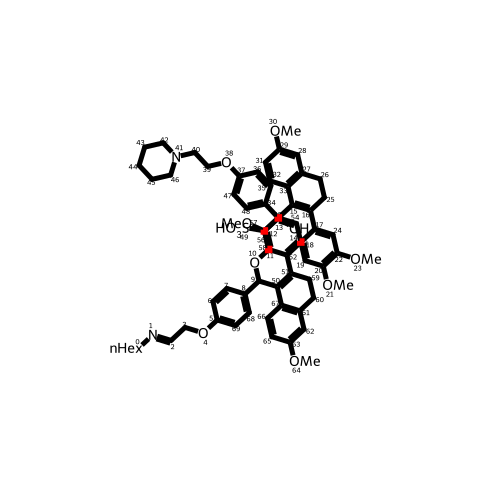 CCCCCCN=CCOc1ccc(C(OCC(C(O)(C2=C(c3ccc(OC)c(OC)c3)CCc3cc(OC)ccc32)c2ccc(OCCN3CCCCC3)cc2)S(=O)(=O)O)C2=C(c3cccc(OC)c3)CCc3cc(OC)ccc32)cc1